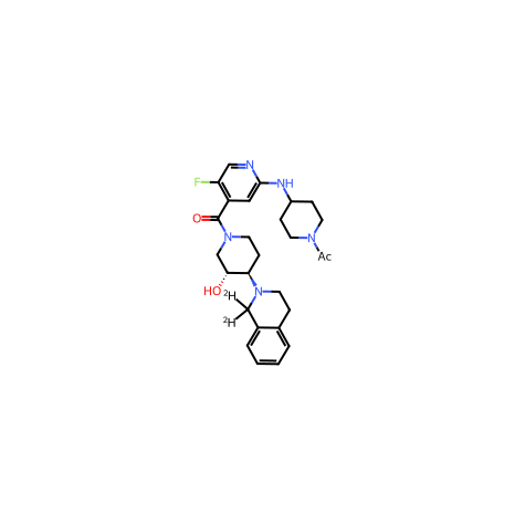 [2H]C1([2H])c2ccccc2CCN1[C@@H]1CCN(C(=O)c2cc(NC3CCN(C(C)=O)CC3)ncc2F)C[C@H]1O